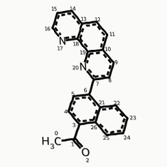 CC(=O)c1ccc(-c2ccc3ccc4cccnc4c3n2)c2ccccc12